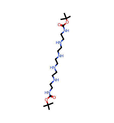 CC(C)(C)OC(=O)NCCNCCNCCNCCNCCNC(=O)OC(C)(C)C